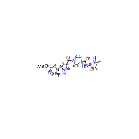 COc1cc(-c2cc(C(=O)N3CCC(C(=O)NC4NCCO4)CC3)n[nH]2)c(F)cn1